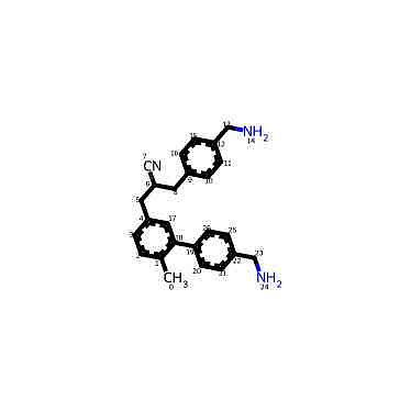 Cc1ccc(CC(C#N)Cc2ccc(CN)cc2)cc1-c1ccc(CN)cc1